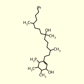 CC(C)CCCC(C)CCCC(C)(O)CCCC(C)CCC1=CC(O)C(C)C(C)C1P